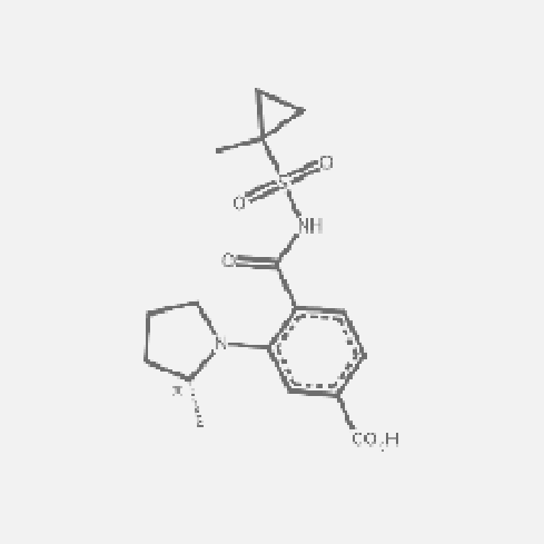 C[C@@H]1CCCN1c1cc(C(=O)O)ccc1C(=O)NS(=O)(=O)C1(C)CC1